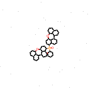 O=P(c1ccccc1)(c1ccc2oc3cccc4cccc(c5cccc1c25)c43)c1ccc2oc3cccc4cccc(c5cccc1c25)c43